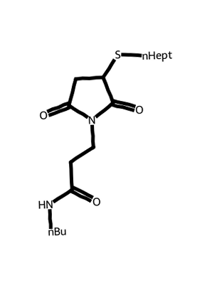 CCCCCCCSC1CC(=O)N(CCC(=O)NCCCC)C1=O